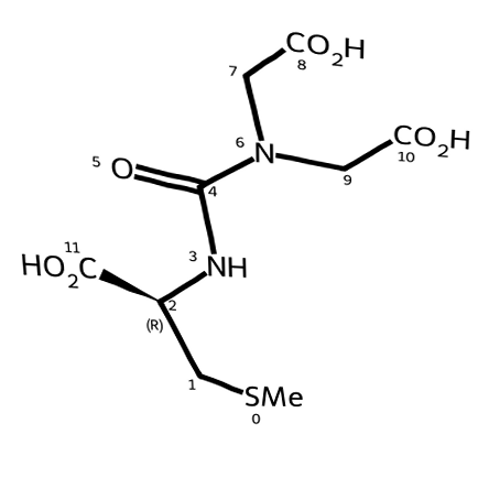 CSC[C@H](NC(=O)N(CC(=O)O)CC(=O)O)C(=O)O